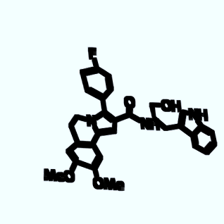 COc1cc2c(cc1OC)-c1cc(C(=O)N[C@@H](CO)Cc3c[nH]c4ccccc34)c(-c3ccc(F)cc3)n1CC2